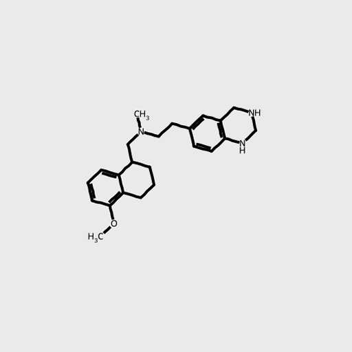 COc1cccc2c1CCCC2CN(C)CCc1ccc2c(c1)CNCN2